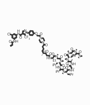 C=CC(=O)Nc1cc(Cl)cc(NC(=O)c2cnn(-c3ccc(OCC(=O)N4CCN(C(=O)CCC[C@@H](C)[C@@H](O)CC(=O)N[C@@H](CC)C(=O)N(C)CC(=O)N(C)[C@@H](CC(C)C)C(=O)NC(C(=O)N(C)[C@@H](CC(C)C)C(=O)N[C@@H](C)C(=O)N[C@H](C)C(=O)N(C)[C@@H](CC(C)C)C(=O)N(C)CC(=O)N(C)C(C(=O)N(C)C)C(C)C)C(C)C)CC4)cc3)c2C(F)(F)F)c1